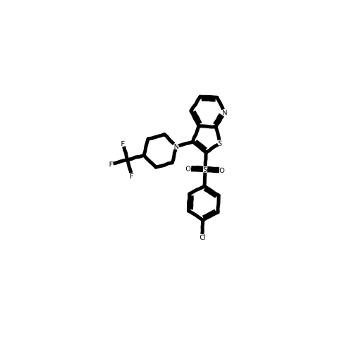 O=S(=O)(c1ccc(Cl)cc1)c1sc2ncccc2c1N1CCC(C(F)(F)F)CC1